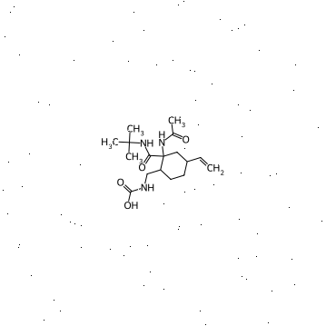 C=CC1CCC(CNC(=O)O)C(NC(C)=O)(C(=O)NC(C)(C)C)C1